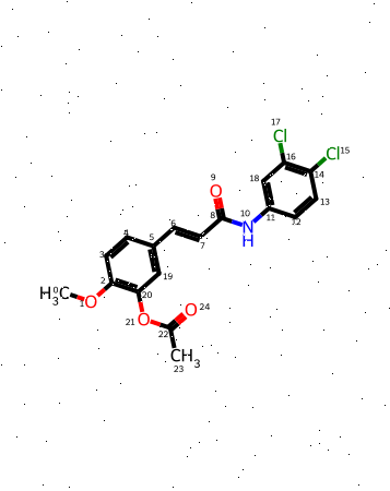 COc1ccc(C=CC(=O)Nc2ccc(Cl)c(Cl)c2)cc1OC(C)=O